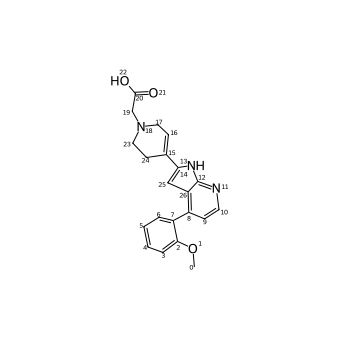 COc1ccccc1-c1ccnc2[nH]c(C3=CCN(CC(=O)O)CC3)cc12